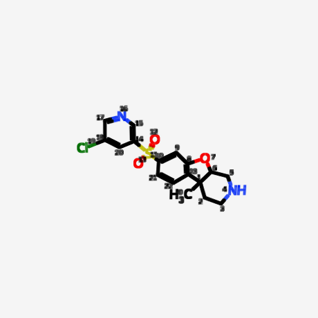 CC12CCNCC1Oc1cc(S(=O)(=O)c3cncc(Cl)c3)ccc12